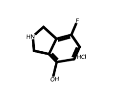 Cl.Oc1ccc(F)c2c1CNC2